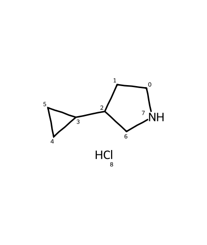 C1CC(C2CC2)CN1.Cl